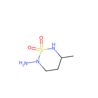 CC1CCN(N)S(=O)(=O)N1